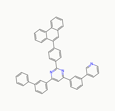 c1ccc(-c2cccc(-c3cc(-c4cccc(-c5cccnc5)c4)nc(-c4ccc(-c5cc6ccccc6c6ccccc56)cc4)n3)c2)cc1